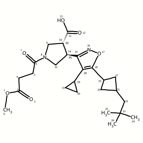 COC(=O)CCC(=O)N1C[C@H](C(=O)O)[C@@H](c2noc(C3CC(CC(C)(C)C)C3)c2C2CC2)C1